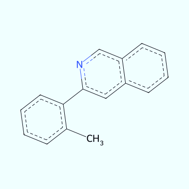 Cc1ccccc1-c1cc2ccccc2cn1